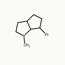 CCC1CCC2CCN(C)C12